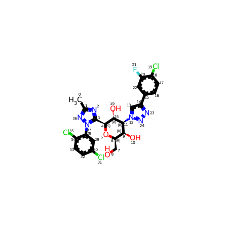 Cc1nc([C@@H]2O[C@H](CO)[C@H](O)[C@H](n3cc(-c4ccc(Cl)c(F)c4)nn3)[C@H]2O)n(-c2cc(Cl)ccc2Cl)n1